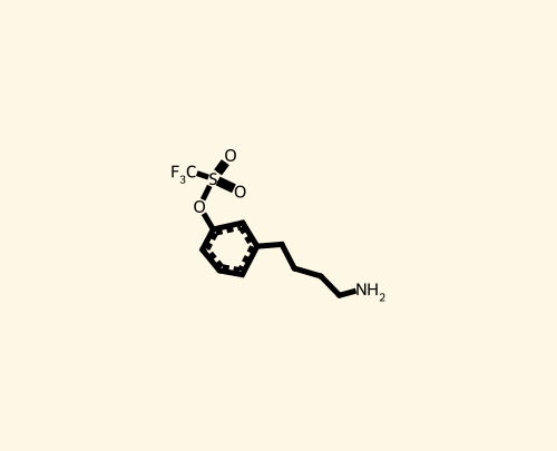 NCCCCc1cccc(OS(=O)(=O)C(F)(F)F)c1